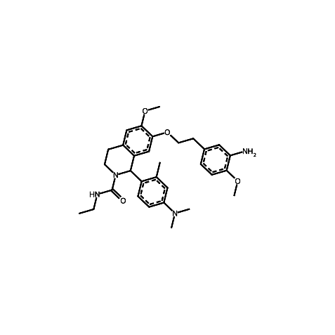 CCNC(=O)N1CCc2cc(OC)c(OCCc3ccc(OC)c(N)c3)cc2C1c1ccc(N(C)C)cc1C